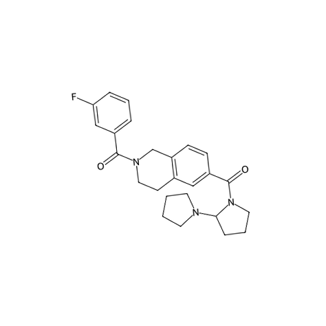 O=C(c1cccc(F)c1)N1CCc2cc(C(=O)N3CCCC3N3CCCC3)ccc2C1